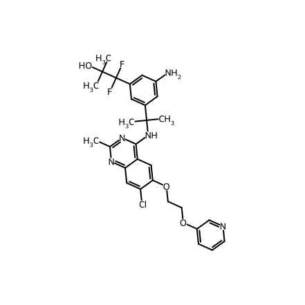 Cc1nc(NC(C)(C)c2cc(N)cc(C(F)(F)C(C)(C)O)c2)c2cc(OCCOc3cccnc3)c(Cl)cc2n1